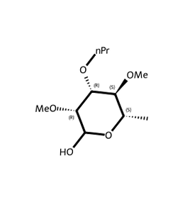 CCCO[C@@H]1[C@@H](OC)[C@H](C)OC(O)[C@@H]1OC